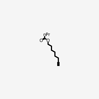 C#CCCCCCCOC(=O)CCC